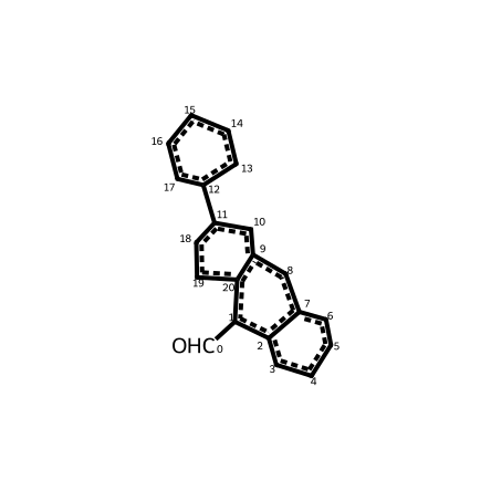 O=Cc1c2ccccc2cc2cc(-c3ccccc3)ccc12